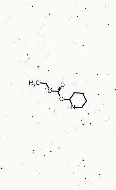 CCOC(=O)OC1CCCC[N]1